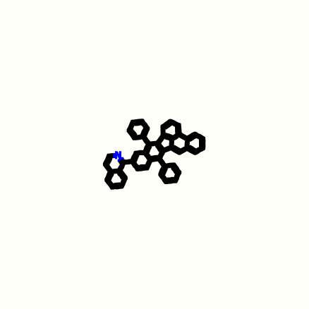 c1ccc(-c2c3c(c(-c4ccccc4)c4cc(-c5nccc6ccccc56)ccc24)-c2cccc4c2c-3cc2ccccc24)cc1